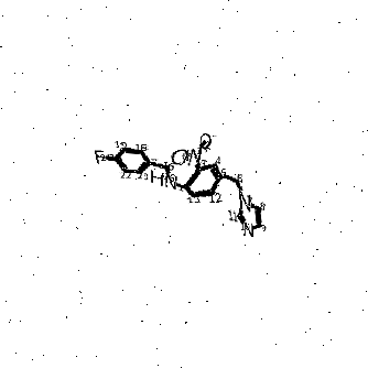 O=[N+]([O-])c1cc(Cn2ccnc2)ccc1NCc1ccc(F)cc1